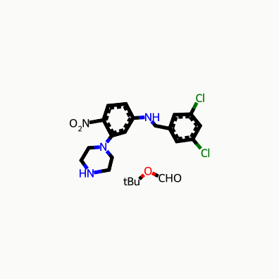 CC(C)(C)OC=O.O=[N+]([O-])c1ccc(NCc2cc(Cl)cc(Cl)c2)cc1N1CCNCC1